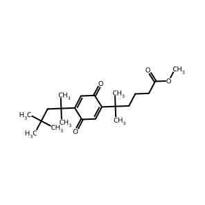 COC(=O)CCCC(C)(C)C1=CC(=O)C(C(C)(C)CC(C)(C)C)=CC1=O